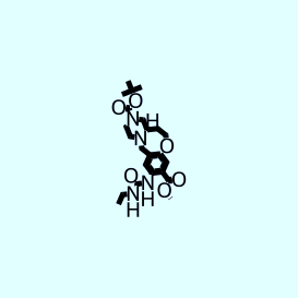 CCNC(=O)Nc1cc2c(cc1C(=O)OC)OCC[C@H]1CN(C(=O)OC(C)(C)C)CCN1C2